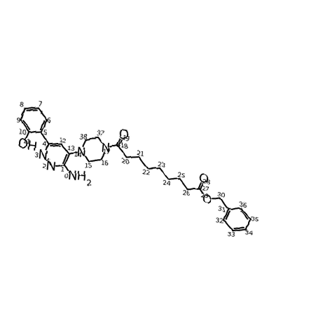 Nc1nnc(-c2ccccc2O)cc1N1CCN(C(=O)CCCCCCCC(=O)OCc2ccccc2)CC1